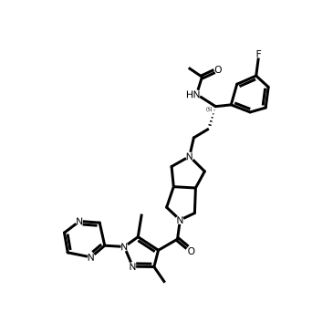 CC(=O)N[C@@H](CCN1CC2CN(C(=O)c3c(C)nn(-c4cnccn4)c3C)CC2C1)c1cccc(F)c1